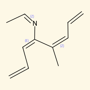 C=C\C=C(C)/C(=C\C=C)/N=C\C